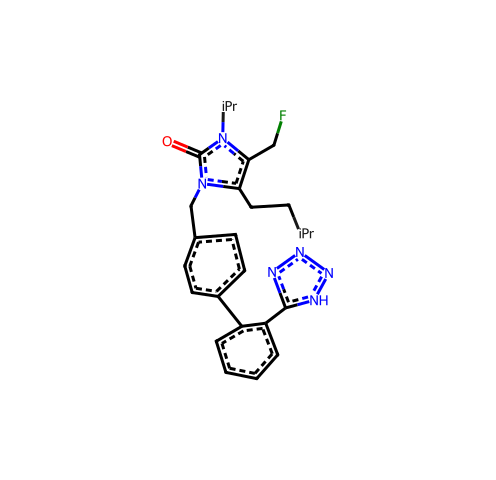 CC(C)CCc1c(CF)n(C(C)C)c(=O)n1Cc1ccc(-c2ccccc2-c2nnn[nH]2)cc1